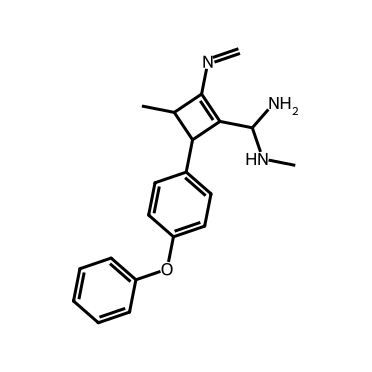 C=NC1=C(C(N)NC)C(c2ccc(Oc3ccccc3)cc2)C1C